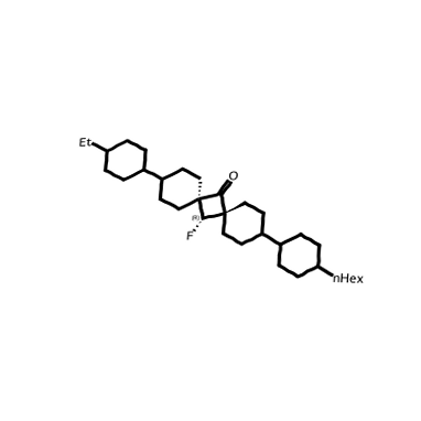 CCCCCCC1CCC(C2CC[C@]3(CC2)C(=O)[C@@]2(CCC(C4CCC(CC)CC4)CC2)[C@H]3F)CC1